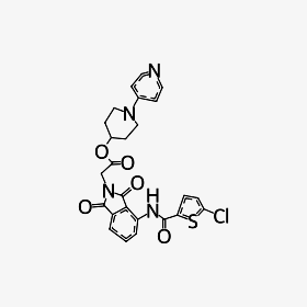 O=C(CN1C(=O)c2cccc(NC(=O)c3ccc(Cl)s3)c2C1=O)OC1CCN(c2ccncc2)CC1